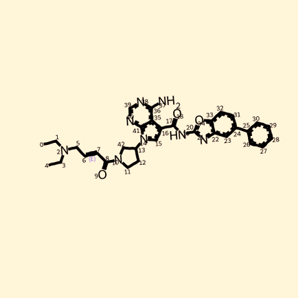 CCN(CC)C/C=C/C(=O)N1CCC(n2cc(C(=O)Nc3nc4cc(-c5ccccc5)ccc4o3)c3c(N)ncnc32)C1